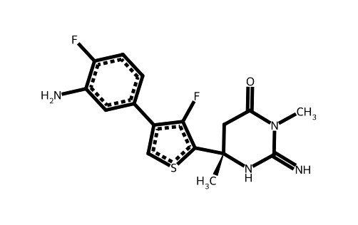 CN1C(=N)N[C@](C)(c2scc(-c3ccc(F)c(N)c3)c2F)CC1=O